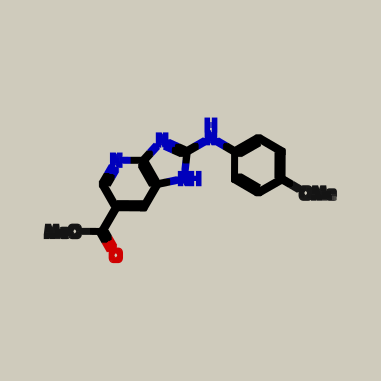 COC(=O)c1cnc2nc(Nc3ccc(OC)cc3)[nH]c2c1